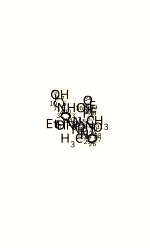 CCOc1cc(N2CCC(O)CC2)ccc1Nc1ncc2c(n1)N(C)c1ccccc1C(=O)N2C.O=C(O)C(F)(F)F